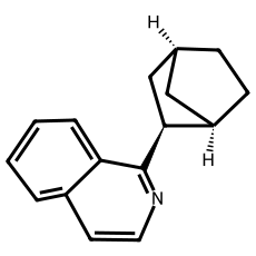 c1ccc2c([C@H]3C[C@H]4CC[C@@H]3C4)nccc2c1